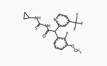 COc1cccc(C(C(=O)NC(=S)NC2CC2)c2cc(C(F)(F)F)ccn2)c1F